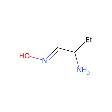 CCC(N)C=NO